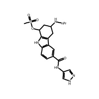 CCCNC1Cc2c([nH]c3ccc(C(=O)Nc4cn[nH]c4)cc23)C(OS(C)(=O)=O)C1